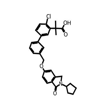 CC(C)(C(=O)O)c1cc(-c2cccc(COc3ccc4c(c3)CN(C3CCCC3)C4=O)c2)ccc1Cl